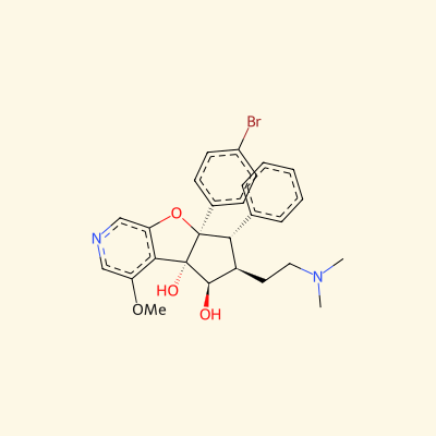 COc1cncc2c1[C@]1(O)[C@H](O)[C@H](CCN(C)C)[C@@H](c3ccccc3)[C@]1(c1ccc(Br)cc1)O2